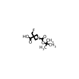 CC(C)(C)OC(=O)N1CC(CF)(C(=O)O)C1